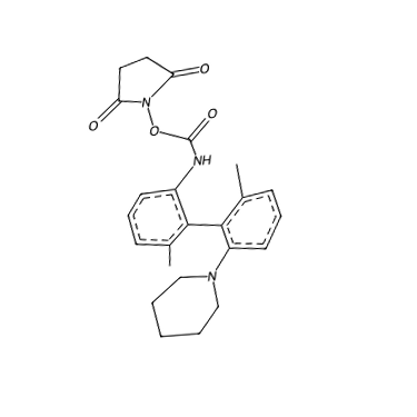 Cc1cccc(NC(=O)ON2C(=O)CCC2=O)c1-c1c(C)cccc1N1CCCCC1